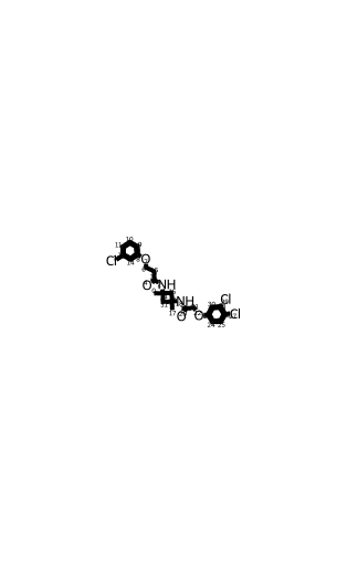 CC1(NC(=O)CCOc2cccc(Cl)c2)CC(C)(NC(=O)COc2ccc(Cl)c(Cl)c2)C1